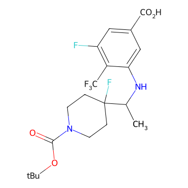 CC(Nc1cc(C(=O)O)cc(F)c1C(F)(F)F)C1(F)CCN(C(=O)OC(C)(C)C)CC1